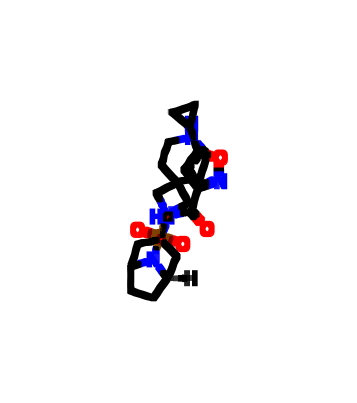 O=C(N[C@@H]1CC2CC[C@H](C1)N2S(=O)(=O)N1CC2(CCNCC2)C1)c1cc(C2CC2)on1